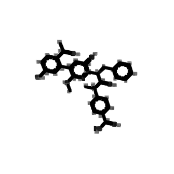 COc1nn([C@@H](Cc2ccccc2)C(=O)N(C)c2ccc(C(=O)O)cc2)c(=O)cc1-c1cc(Cl)ccc1C(C)=O